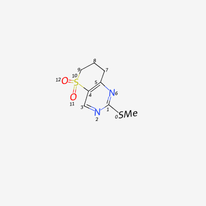 CSc1ncc2c(n1)CCCS2(=O)=O